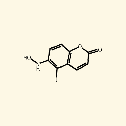 O=c1ccc2c(I)c(NO)ccc2o1